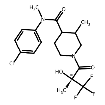 CC1CN(C(=O)[C@@](C)(O)C(F)(F)F)CCC1C(=O)N(C)c1ccc(Cl)cc1